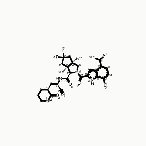 N#C[C@@H](C[C@@H]1CCCNC1=O)NC(=O)[C@H]1[C@H]2CC(F)(F)C[C@H]2CN1C(=O)c1cc2c(C(F)F)ccc(Cl)c2[nH]1